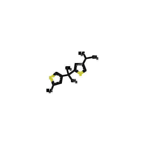 Cc1cc(C(C)(C)c2cc(C(C)C)cs2)cs1